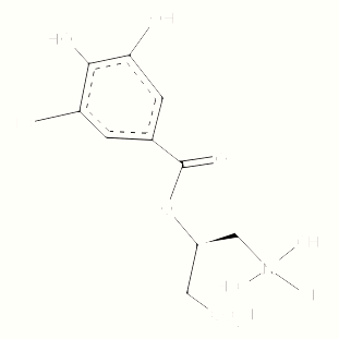 C[N+](C)(C)C[C@@H](CC(=O)O)OC(=O)c1cc(O)c(O)c(O)c1